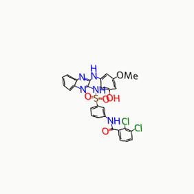 COc1cc(O)cc(Nc2nc3ccccc3nc2NS(=O)(=O)c2cccc(NC(=O)c3cccc(Cl)c3Cl)c2)c1